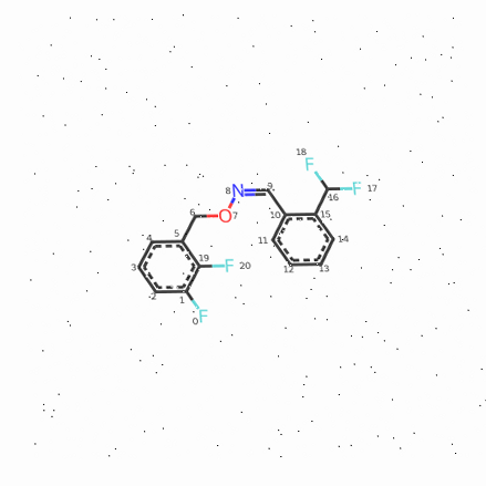 Fc1cccc(CO/N=[C]\c2ccccc2C(F)F)c1F